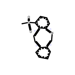 CS(=O)(=O)c1cccc2/c1=C\C=c1\cccc\c1=C\N=2